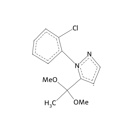 COC(C)(OC)c1[c]cnn1-c1ccccc1Cl